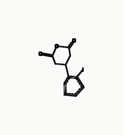 O=C1CC(c2ccccc2I)CC(=O)O1